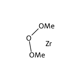 COOOC.[Zr]